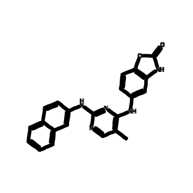 Cc1cnc(Nc2ccc3ccccc3c2)nc1Nc1ccc2oc(=O)[nH]c2c1